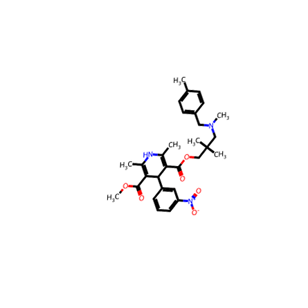 COC(=O)C1=C(C)NC(C)=C(C(=O)OCC(C)(C)CN(C)Cc2ccc(C)cc2)C1c1cccc([N+](=O)[O-])c1